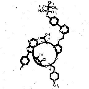 Cc1c2ccc(c1Cl)O[C@H](CN1CCN(C)CC1)COc1ccc(OCc3ccnc(-c4ccc(O[Si](C)(C)C(C)(C)C)cc4)n3)c(c1)C[C@H](C(=O)O)Oc1ncnc3sc(-c4ccc(F)cc4)c-2c13